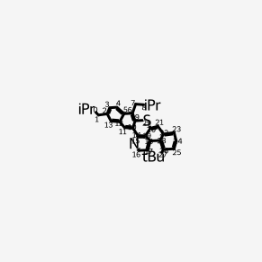 CC(C)Cc1ccc2c(CC(C)C)c3c(cc2c1)-c1nccc2c1c(cc1cccc(C(C)(C)C)c12)S3